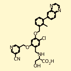 Cc1c(COc2cc(OCc3cncc(C#N)c3)c(CN[C@H](CO)C(=O)O)cc2Cl)cccc1-c1ccc2nccnc2c1